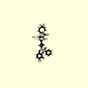 CC1(C)N=C(C23CC(N(Cc4ccc(Cl)c(F)c4)S(=O)(=O)c4ccccc4)(C2)C3)N[C@H]1C(=O)N1CCCC(F)(F)CC1